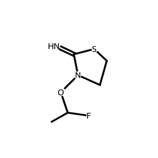 CC(F)ON1CCSC1=N